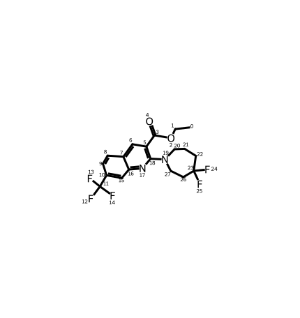 CCOC(=O)c1cc2ccc(C(F)(F)F)cc2nc1N1CCCC(F)(F)CC1